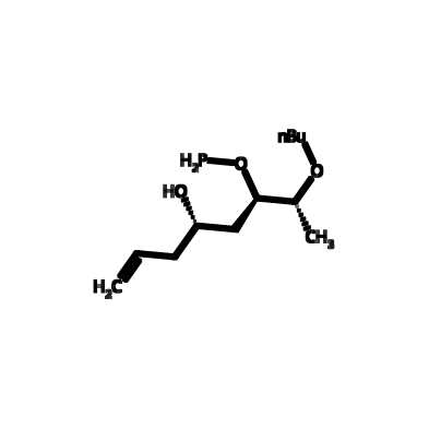 C=CC[C@H](O)C[C@@H](OP)[C@@H](C)OCCCC